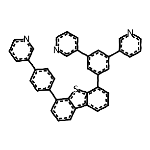 c1cncc(-c2ccc(-c3cccc4c3sc3c(-c5cc(-c6cccnc6)cc(-c6cccnc6)c5)cccc34)cc2)c1